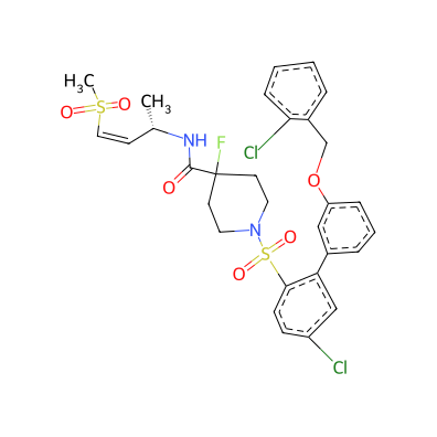 C[C@@H](/C=C\S(C)(=O)=O)NC(=O)C1(F)CCN(S(=O)(=O)c2ccc(Cl)cc2-c2cccc(OCc3ccccc3Cl)c2)CC1